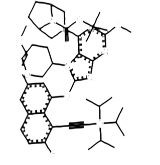 COCOc1cc(Oc2nc3nc(SC)nc(N4CC5CCC(C4)N5C(=O)OC(C)(C)C)c3n2C2CCCOC2)c2c(C#C[Si](C(C)C)(C(C)C)C(C)C)c(F)ccc2c1